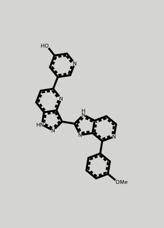 COc1cccc(-c2nccc3[nH]c(-c4n[nH]c5ccc(-c6cncc(O)c6)nc45)nc23)c1